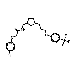 O=C(COc1ccc(Cl)cc1)NCC1CCN(CCCOc2ccc(C(F)(F)F)cc2)C1